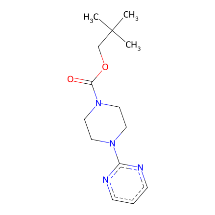 CC(C)(C)COC(=O)N1CCN(c2ncccn2)CC1